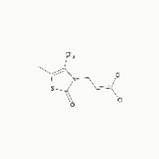 [CH2]c1sc(=O)n(CC=C(Cl)Cl)c1C(F)(F)F